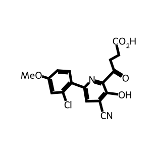 COc1ccc(-c2cc(C#N)c(O)c(C(=O)CCC(=O)O)n2)c(Cl)c1